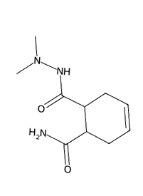 CN(C)NC(=O)C1CC=CCC1C(N)=O